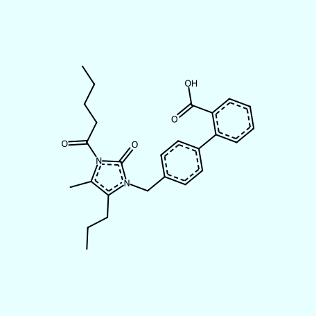 CCCCC(=O)n1c(C)c(CCC)n(Cc2ccc(-c3ccccc3C(=O)O)cc2)c1=O